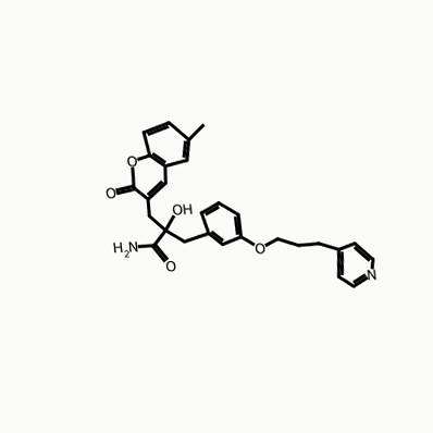 Cc1ccc2oc(=O)c(CC(O)(Cc3cccc(OCCCc4ccncc4)c3)C(N)=O)cc2c1